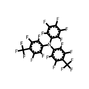 Fc1c(F)c(F)c(N(c2c(F)c(F)c(C(F)(F)F)c(F)c2F)c2c(F)c(F)c(C(F)(F)F)c(F)c2F)c(F)c1F